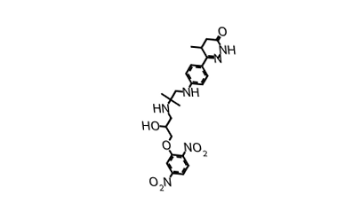 CC1CC(=O)NN=C1c1ccc(NCC(C)(C)NCC(O)COc2cc([N+](=O)[O-])ccc2[N+](=O)[O-])cc1